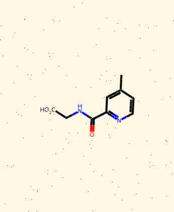 Cc1ccnc(C(=O)NCC(=O)O)c1